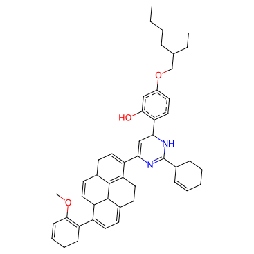 CCCCC(CC)COc1ccc(C2C=C(C3=CCC4C=CC5C(C6=C(OC)C=CCC6)=CC=C6CCC3=C4C65)N=C(C3C=CCCC3)N2)c(O)c1